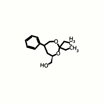 CCC1(CC)OCC(c2ccccc2)C[C@H](CO)O1